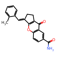 Cc1ccccc1/C=C1\CCc2c1oc1ccc(C(N)=O)cc1c2=O